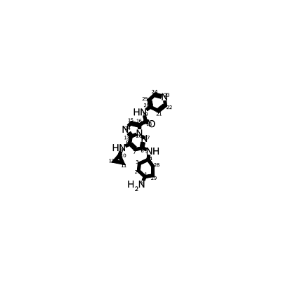 NC1CCC(Nc2cc(NC3CC3)c3ncc(C(=O)Nc4ccncc4)n3n2)CC1